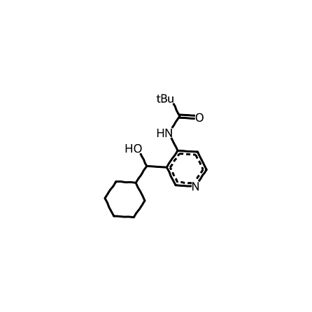 CC(C)(C)C(=O)Nc1ccncc1C(O)C1CCCCC1